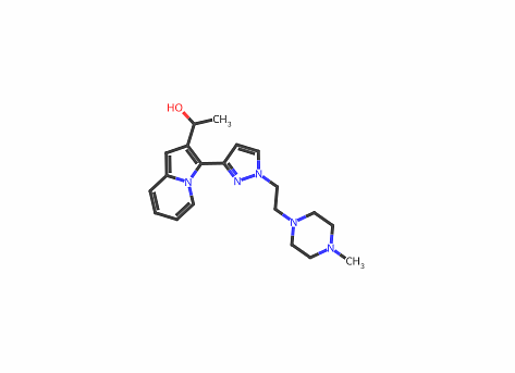 CC(O)c1cc2ccccn2c1-c1ccn(CCN2CCN(C)CC2)n1